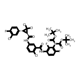 CC(C)(C)OC(=O)N(C(=O)OC(C)(C)C)c1c(F)ccc(NC(=O)c2cc(NC(=O)[C@H]3[C@H](c4ccc(F)c(Cl)c4)C3(Cl)Cl)ccc2Cl)c1F